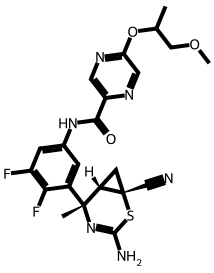 COCC(C)Oc1cnc(C(=O)Nc2cc(F)c(F)c([C@@]3(C)N=C(N)S[C@@]4(C#N)C[C@H]43)c2)cn1